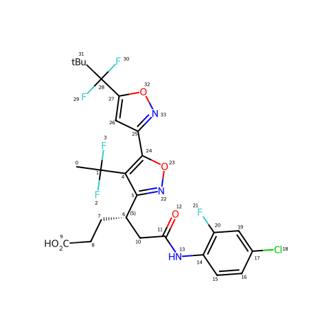 CC(F)(F)c1c([C@@H](CCC(=O)O)CC(=O)Nc2ccc(Cl)cc2F)noc1-c1cc(C(F)(F)C(C)(C)C)on1